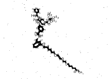 COC(=O)CCCCCOCCOCCOCCCCCCOc1cccc(CNC(=O)c2cccc(NC3(C(=N)NC(=N)c4ccncc4)CCN(C(=O)OC(C)(C)C)CC3)c2)c1